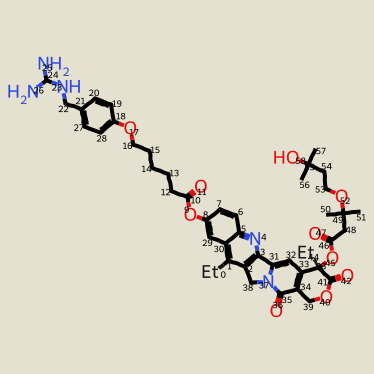 CCc1c2c(nc3ccc(OC(=O)CCCCCOc4ccc(CNC(N)N)cc4)cc13)-c1cc3c(c(=O)n1C2)COC(=O)[C@@]3(CC)OC(=O)CC(C)(C)OCCC(C)(C)O